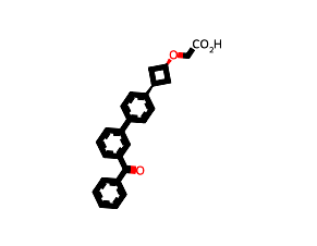 O=C(O)CO[C@H]1C[C@@H](c2ccc(-c3cccc(C(=O)c4ccccc4)c3)cc2)C1